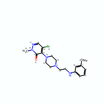 COc1cccc(NCCN2CCN(c3c(Br)cnn(C)c3=O)CC2)c1